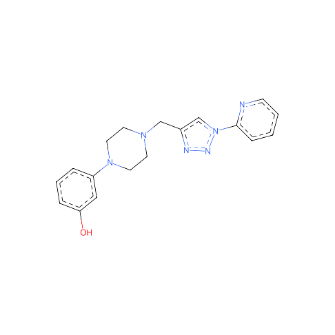 Oc1cccc(N2CCN(Cc3cn(-c4ccccn4)nn3)CC2)c1